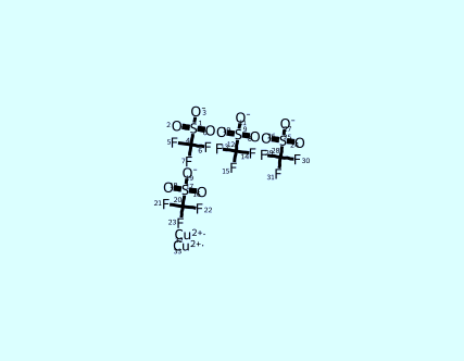 O=S(=O)([O-])C(F)(F)F.O=S(=O)([O-])C(F)(F)F.O=S(=O)([O-])C(F)(F)F.O=S(=O)([O-])C(F)(F)F.[Cu+2].[Cu+2]